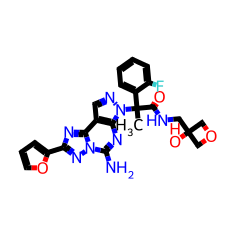 CC(C(=O)NCC1(O)COC1)(c1ccccc1F)n1ncc2c1nc(N)n1nc(-c3ccco3)nc21